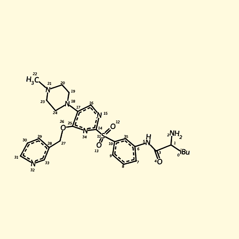 CCC(C)C(N)C(=O)Nc1cccc(S(=O)(=O)c2ncc(N3CCN(C)CC3)c(OCc3cccnc3)n2)c1